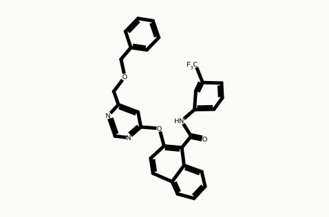 O=C(Nc1cccc(C(F)(F)F)c1)c1c(Oc2cc(COCc3ccccc3)ncn2)ccc2ccccc12